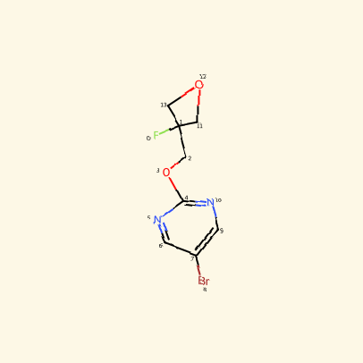 FC1(COc2ncc(Br)cn2)COC1